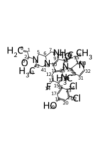 C=CC(=O)N1CC2CNc3c(c4cc(F)c(-c5cc(O)cc(Cl)c5Cl)nc4n(-c4c(C)ccnc4C(C)C)c3=O)N2CC1C